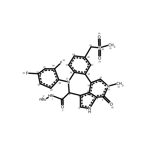 CCCCNC(=O)C1c2c[nH]c3c(=O)n(C)cc(c23)-c2cc(CS(C)(=O)=O)ccc2N1c1ccc(F)cc1F